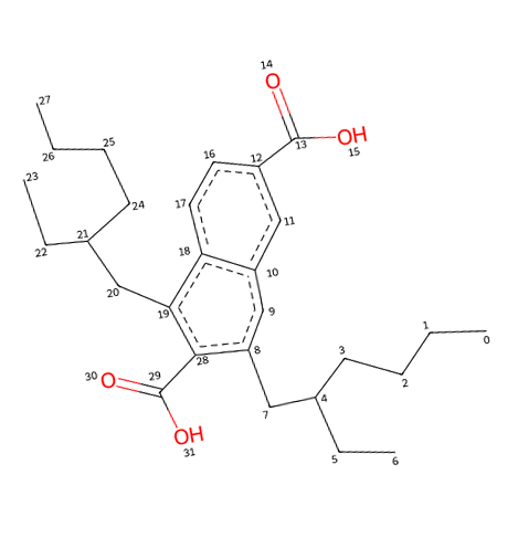 CCCCC(CC)Cc1cc2cc(C(=O)O)ccc2c(CC(CC)CCCC)c1C(=O)O